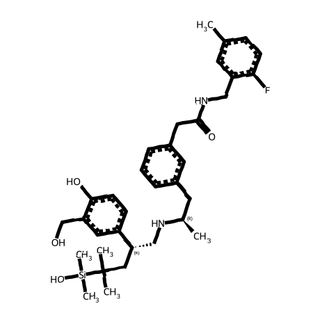 Cc1ccc(F)c(CNC(=O)Cc2cccc(C[C@@H](C)NC[C@H](CC(C)(C)[Si](C)(C)O)c3ccc(O)c(CO)c3)c2)c1